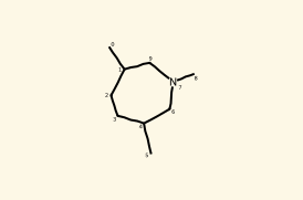 CC1CCC(C)CN(C)C1